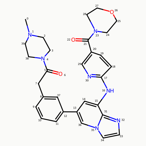 CN1CCN(C(=O)Cc2cccc(-c3cc(Nc4ccc(C(=O)N5CCOCC5)cn4)c4nccn4c3)c2)CC1